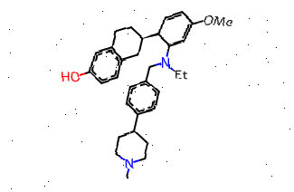 CCN(Cc1ccc(C2CCN(C)CC2)cc1)C1C=C(OC)C=CC1[C@@H]1CCc2cc(O)ccc2C1